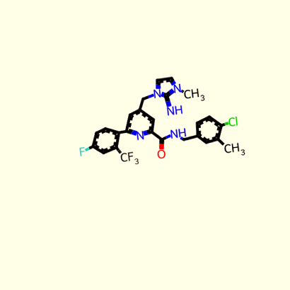 Cc1cc(CNC(=O)c2cc(Cn3ccn(C)c3=N)cc(-c3ccc(F)cc3C(F)(F)F)n2)ccc1Cl